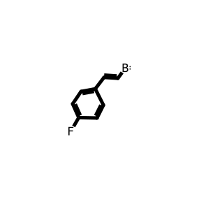 [B]/C=C/c1ccc(F)cc1